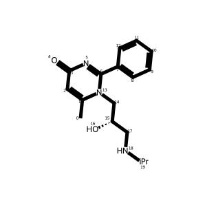 Cc1cc(=O)nc(-c2ccccc2)n1C[C@@H](O)CNC(C)C